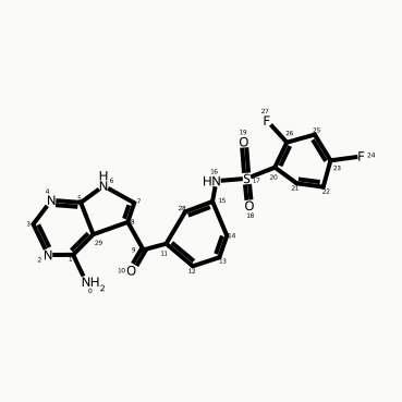 Nc1ncnc2[nH]cc(C(=O)c3cccc(NS(=O)(=O)c4ccc(F)cc4F)c3)c12